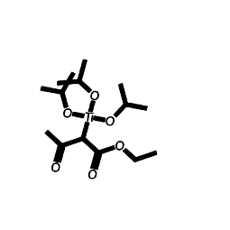 CCOC(=O)[CH](C(C)=O)[Ti]([O]C(C)C)([O]C(C)C)[O]C(C)C